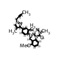 CC#CCn1cc(C)c(-c2ccc(OCc3c(OC)cccc3N(N)C(=O)N(C)N)c(C)c2)n1